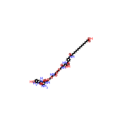 NC(=O)C[C@H](NC(=O)COCCOCCNC(=O)COCCOCCNC(=O)CCC(NC(=O)C1CCC(CNC(=O)CCCCCCCCCCCCCCCCCCC(=O)O)CC1)C(=O)O)C(=O)CN[C@@H](Cc1ccc(O)cc1)C(N)=O